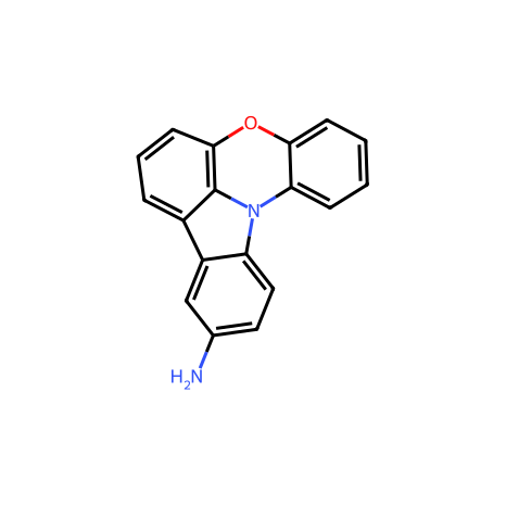 Nc1ccc2c(c1)c1cccc3c1n2-c1ccccc1O3